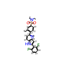 Cc1cc(S(=O)(=O)N(C)C)ccc1-c1ccc2[nH]c(-c3c(F)cccc3F)cc2n1